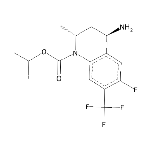 CC(C)OC(=O)N1c2cc(C(F)(F)F)c(F)cc2[C@H](N)C[C@H]1C